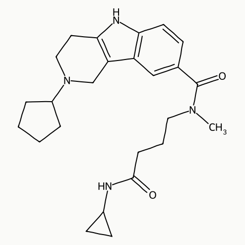 CN(CCCC(=O)NC1CC1)C(=O)c1ccc2[nH]c3c(c2c1)CN(C1CCCC1)CC3